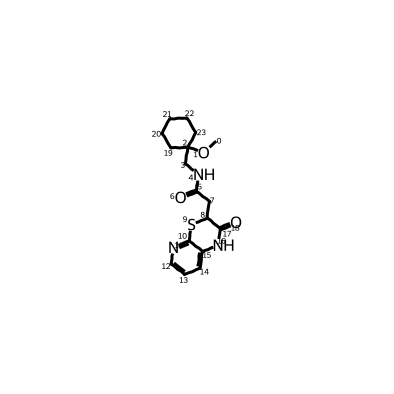 COC1(CNC(=O)CC2Sc3ncccc3NC2=O)CCCCC1